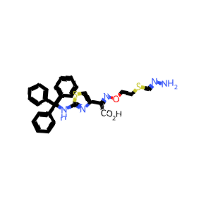 N/N=C/SCCO/N=C(\C(=O)O)c1csc(NC(c2ccccc2)(c2ccccc2)c2ccccc2)n1